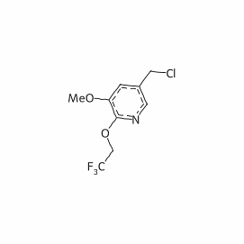 COc1cc(CCl)cnc1OCC(F)(F)F